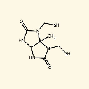 CC12C(NC(=O)N1CS)NC(=O)N2CS